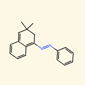 CC1(C)[C]=c2ccccc2=C(N=Nc2ccccc2)C1